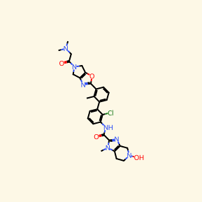 Cc1c(-c2nc3c(o2)CN(C(=O)CN(C)C)C3)cccc1-c1cccc(NC(=O)c2nc3c(n2C)CCN(O)C3)c1Cl